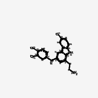 NCCc1cc(Nc2cnc(Cl)c(Cl)c2)cc2c1[nH]c1ccc(Cl)cc12